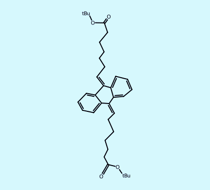 CC(C)(C)OC(=O)CCCCCC=c1c2ccccc2c(=CCCCCCC(=O)OC(C)(C)C)c2ccccc12